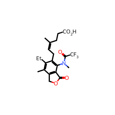 CCc1c(C)c2c(c(N(C)C(=O)C(F)(F)F)c1C/C=C(/C)CCC(=O)O)C(=O)OC2